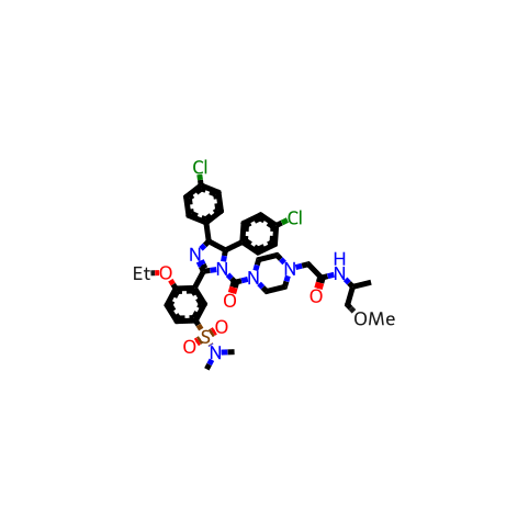 CCOc1ccc(S(=O)(=O)N(C)C)cc1C1=NC(c2ccc(Cl)cc2)C(c2ccc(Cl)cc2)N1C(=O)N1CCN(CC(=O)NC(C)COC)CC1